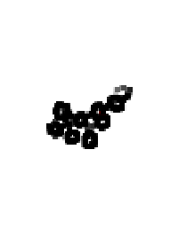 c1ccc(N(c2ccccc2)c2cc3c(cc2-c2ccc(-c4ccc5c(c4)CCCC5)cc2)-c2ccccc2C3(c2ccccc2)c2ccccc2)cc1